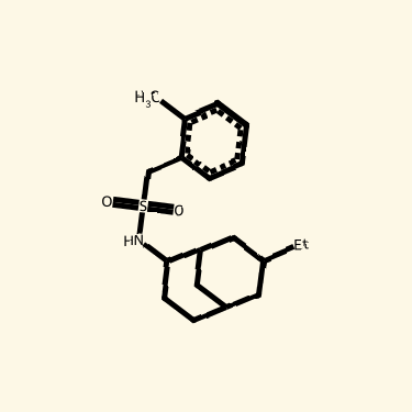 CCC1CC2CCC(NS(=O)(=O)Cc3ccccc3C)C(C1)C2